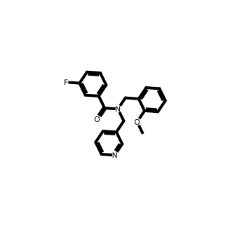 COc1ccccc1CN(Cc1cccnc1)C(=O)c1cccc(F)c1